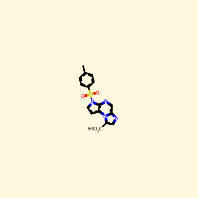 CCOC(=O)c1cnc2cnc3c(ccn3S(=O)(=O)c3ccc(C)cc3)n12